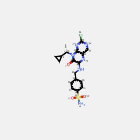 C[C@@H](C1CC1)n1c(=O)c(NCc2ccc(S(N)(=O)=O)cc2)nc2cnc(Cl)nc21